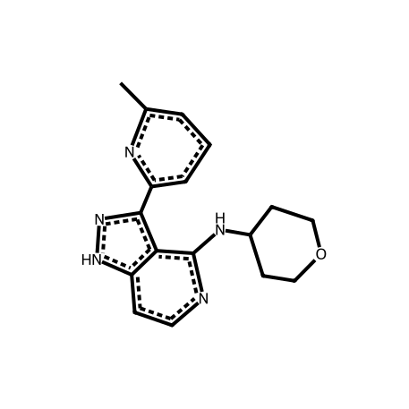 Cc1cccc(-c2n[nH]c3ccnc(NC4CCOCC4)c23)n1